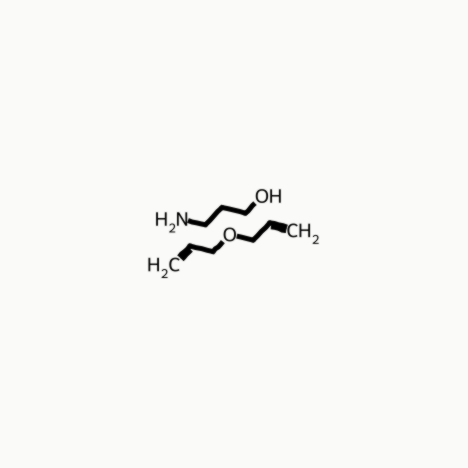 C=CCOCC=C.NCCCO